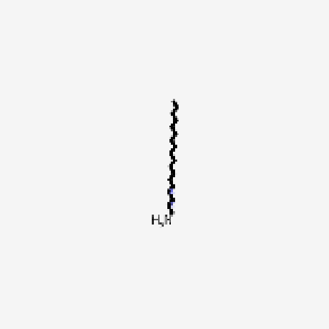 CCCCCCCCCCCCC/C=C/C=C/CN